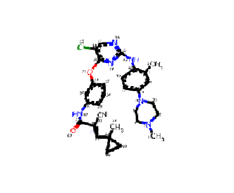 Cc1cc(N2CCN(C)CC2)ccc1Nc1ncc(Cl)c(Oc2cccc(NC(=O)/C(C#N)=C/C3(C)CC3)c2)n1